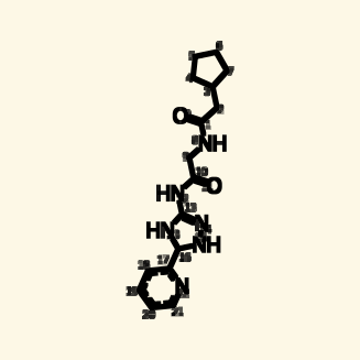 O=C(CC1CCCC1)NCC(=O)NC1=NNC(c2ccccn2)N1